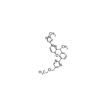 CCOCc1cnc(-c2cccc(C(C)c3nn(-c4cnn(C)c4)ccc3=O)c2)nc1